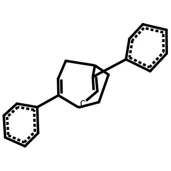 C1=C(c2ccccc2)C2CC=C(c3ccccc3)C(C1)CC2